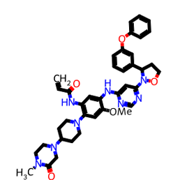 C=CC(=O)Nc1cc(Nc2cc(N3OCCC3c3cccc(Oc4ccccc4)c3)ncn2)c(OC)cc1N1CCC(N2CCN(C)C(=O)C2)CC1